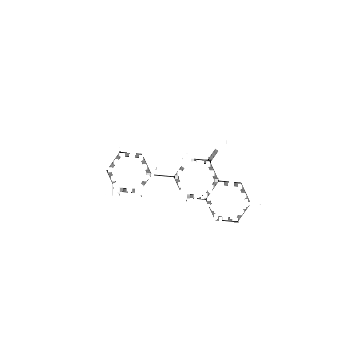 O=c1oc(-c2cccnn2)nc2ccccc12